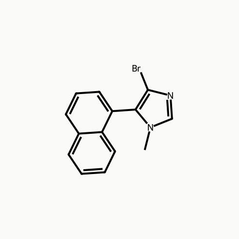 Cn1cnc(Br)c1-c1cccc2ccccc12